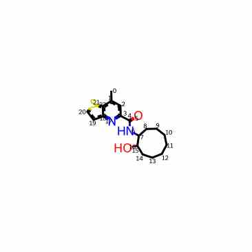 Cc1cc(C(=O)NC2CCCCCCCC2O)nc2ccsc12